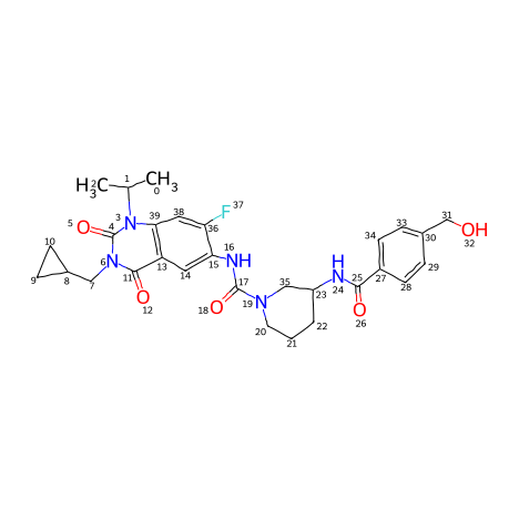 CC(C)n1c(=O)n(CC2CC2)c(=O)c2cc(NC(=O)N3CCCC(NC(=O)c4ccc(CO)cc4)C3)c(F)cc21